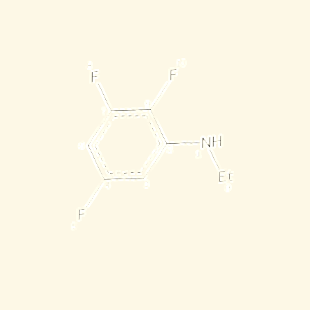 CCNc1cc(F)cc(F)c1F